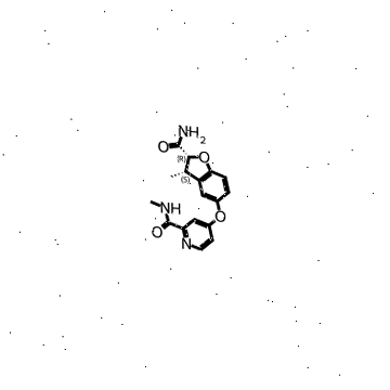 CNC(=O)c1cc(Oc2ccc3c(c2)[C@H](C)[C@H](C(N)=O)O3)ccn1